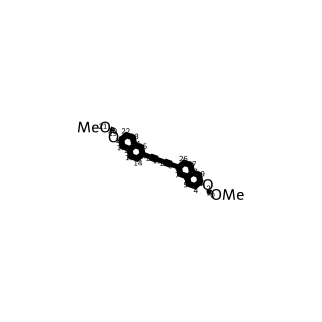 COCOc1ccc2cc(C#CC#Cc3ccc4cc(OCOC)ccc4c3)ccc2c1